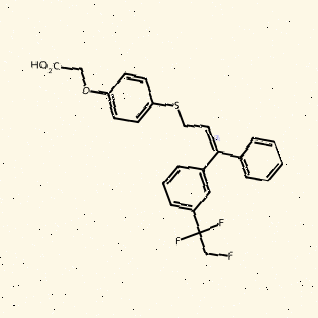 O=C(O)COc1ccc(SC/C=C(/c2ccccc2)c2cccc(C(F)(F)CF)c2)cc1